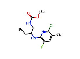 CC(C)CC(CNC(=O)OC(C)(C)C)Nc1nc(Cl)c(C#N)cc1F